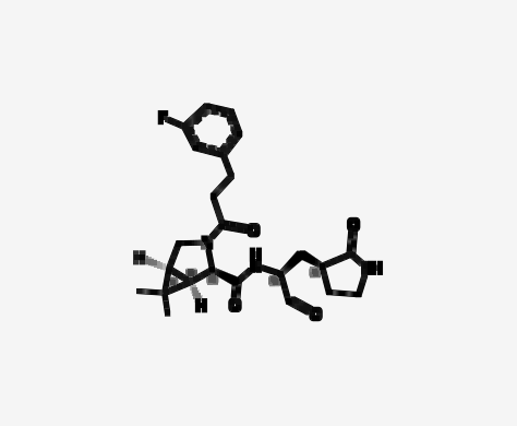 CC1(C)[C@@H]2[C@H](C(=O)N[C@H](C=O)C[C@@H]3CCNC3=O)N(C(=O)CCc3cccc(F)c3)C[C@@H]21